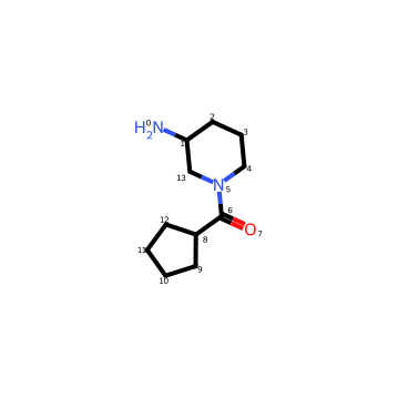 NC1CCCN(C(=O)C2CCCC2)C1